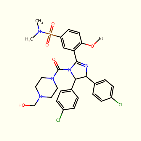 CCOc1ccc(S(=O)(=O)N(C)C)cc1C1=NC(c2ccc(Cl)cc2)C(c2ccc(Cl)cc2)N1C(=O)N1CCN(CO)CC1